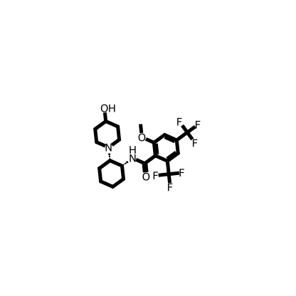 COc1cc(C(F)(F)F)cc(C(F)(F)F)c1C(=O)N[C@@H]1CCCC[C@@H]1N1CCC(O)CC1